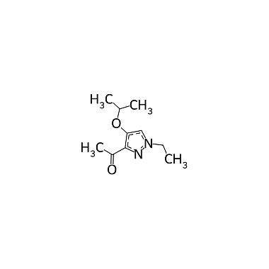 CCn1cc(OC(C)C)c(C(C)=O)n1